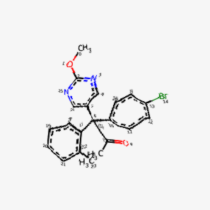 COc1ncc([C@](C(C)=O)(c2ccc(Br)cc2)c2ccccc2C)cn1